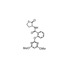 COc1cc(OC)nc(Oc2ccccc2C(=O)NC2CCSC2=O)n1